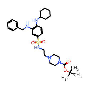 CC(C)(C)OC(=O)N1CCN(CCNS(=O)(=O)c2ccc(NC3CCCCC3)c(NCc3ccccc3)c2)CC1